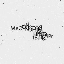 COc1ccc2nc(CCCCC[C@@H]3C4CC(C4)CC3OC(=O)N[C@H](C(=O)N3CC[C@@H](C)[C@H]3C(=O)C(C)C)C(C)(C)C)c(O)nc2c1